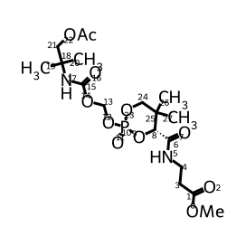 COC(=O)CCNC(=O)[C@@H]1OP(=O)(OCOC(=O)NC(C)(C)COC(C)=O)OCC1(C)C